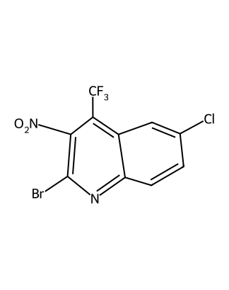 O=[N+]([O-])c1c(Br)nc2ccc(Cl)cc2c1C(F)(F)F